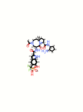 CC(=O)N1CC[C@H]2CC[C@@H](C(=O)N[C@H]3CCC[C@H]3N)N2C(=O)[C@@H](NC(=O)c2cc3cc(C(F)(F)P(=O)(O)O)ccc3[nH]2)C1